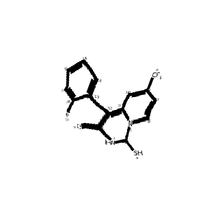 O=C1NC(S)N2C=CC(C(F)(F)F)=CC2=C1c1ccccc1F